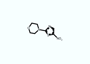 O=[N+]([O-])c1cnc(N2CCOCC2)s1